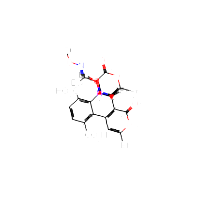 CCON=C(CC)c1c(-c2c(C(=O)O)ccc(C(=O)O)c2-c2cc(CC)oc(=O)c2C(CC)=NOCC)cc(CC)oc1=O